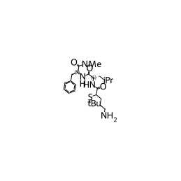 CNC(=O)[C@H](Cc1ccccc1)NC(=O)[C@H](CC(C)C)NC(=O)C(CCCN)SC(C)(C)C